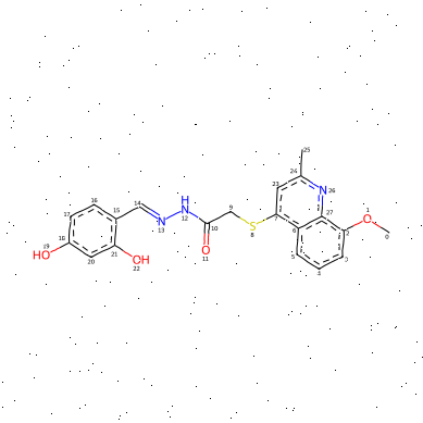 COc1cccc2c(SCC(=O)N/N=C/c3ccc(O)cc3O)cc(C)nc12